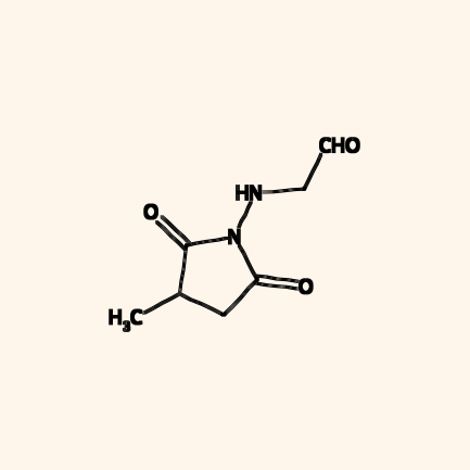 CC1CC(=O)N(NCC=O)C1=O